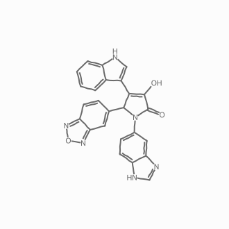 O=C1C(O)=C(c2c[nH]c3ccccc23)C(c2ccc3nonc3c2)N1c1ccc2[nH]cnc2c1